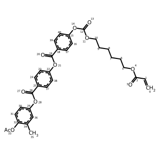 C=CC(=O)OCCCCCCOC(=O)Oc1ccc(C(=O)Oc2ccc(C(=O)Oc3ccc(OC(C)=O)c(C)c3)cc2)cc1